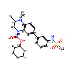 CCS(=O)(=O)Nc1cccc(-c2ccc3c(c2)N(C(=O)OC2CCCCC2)CC(C)N3C(C)=O)c1